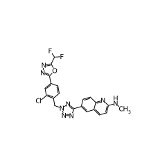 CNc1ccc2cc(-c3nnn(Cc4ccc(-c5nnc(C(F)F)o5)cc4Cl)n3)ccc2n1